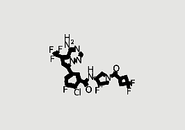 Nc1ncnn2c(-c3cc(F)c(Cl)c(C(=O)N[C@@H]4CN(C(=O)C5CC(F)(F)C5)C[C@@H]4F)c3)cc(C(F)(F)F)c12